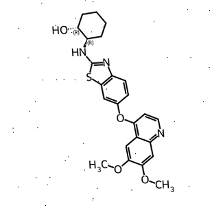 COc1cc2nccc(Oc3ccc4nc(N[C@@H]5CCCC[C@H]5O)sc4c3)c2cc1OC